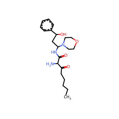 CCCCCC(=O)C(N)C(=O)NC(CC(O)c1ccccc1)N1CCOCC1